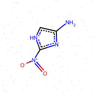 Nc1c[nH]c([N+](=O)[O-])n1